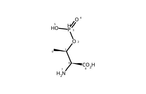 C[C@@H](O[PH](=O)O)[C@H](N)C(=O)O